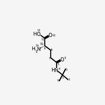 CC(C)(C)NC(=O)CC[C@H](N)C(=O)O